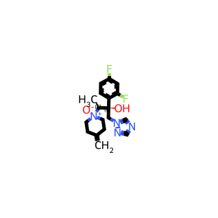 C=C1CC[N+]([O-])([C@H](C)[C@](O)(Cn2cncn2)c2ccc(F)cc2F)CC1